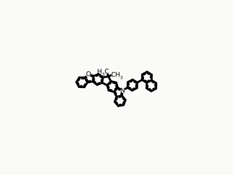 CC1(C)c2cc3oc4ccccc4c3cc2-c2cc3c4ccccc4n(-c4ccc(-c5cccc6ccccc56)cc4)c3cc21